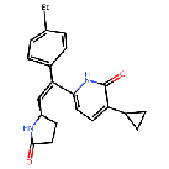 CCc1ccc(C(=C[C@H]2CCC(=O)N2)c2ccc(C3CC3)c(=O)[nH]2)cc1